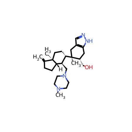 C=C1CC[C@H]2[C@H](CN3CCN(C)CC3)[C@@H]([C@@]3(C)Cc4cn[nH]c4C[C@@H]3CO)CC[C@]12C